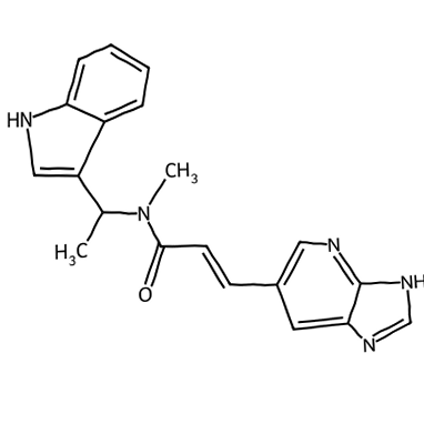 CC(c1c[nH]c2ccccc12)N(C)C(=O)C=Cc1cnc2[nH]cnc2c1